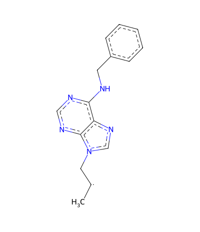 C[CH]Cn1cnc2c(NCc3ccccc3)ncnc21